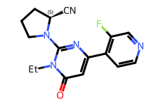 CCn1c(N2CCC[C@H]2C#N)nc(-c2ccncc2F)cc1=O